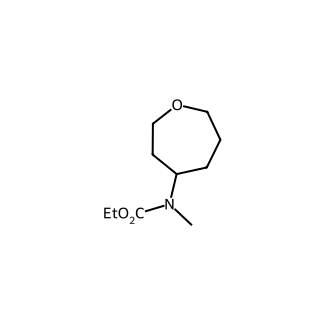 CCOC(=O)N(C)C1CCCOCC1